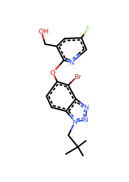 CC(C)(C)Cn1nnc2c(Br)c(Oc3ncc(F)cc3CO)ccc21